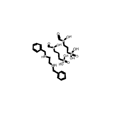 O=CN(O)CCCP(=O)(O)O.O=CN(O)CCCP(=O)(O)O.c1ccc(CNCCNCc2ccccc2)cc1